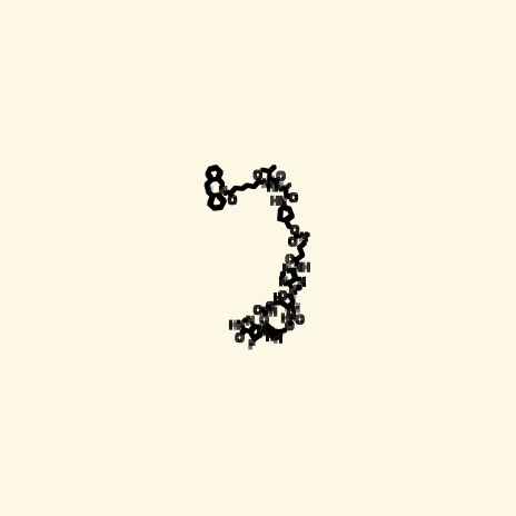 CC(C)[C@H](NC(=O)CCCCC(=O)N1Cc2ccccc2/C=C\c2ccccc21)C(=O)N[C@@H](C)C(=O)Nc1ccc(COC(=O)N(C)CCCC(=O)Nc2ncnc3c2ncn3[C@H]2C[C@@H]3O[PH](=O)OC[C@H]4OC[C@@](n5cc(F)c6c(=O)[nH]cnc65)(O[PH](=O)OC[C@H]3O2)[C@@H]4O)cc1